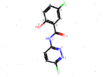 O=C(Nc1ccc(Cl)nn1)c1cc(Cl)ccc1O